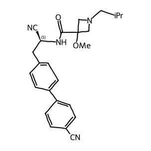 COC1(C(=O)N[C@H](C#N)Cc2ccc(-c3ccc(C#N)cc3)cc2)CN(CC(C)C)C1